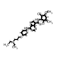 CCN(CC)CCCOc1ccc(Nc2ncnc3c(C(=O)Nc4c(Cl)c(C)cc(OC)c4Cl)csc23)nc1